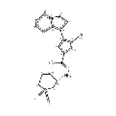 N[C@@H]1CS(=O)(=O)CC[C@@H]1NC(=O)c1cc(-c2cnn3ccccc23)c(Cl)s1